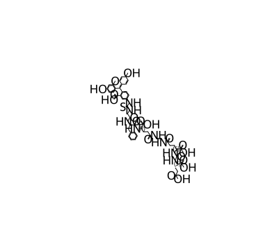 O=C(O)CC[C@H](NC(=O)N[C@@H](CCC(=O)NCCNC(=O)CC[C@@H](NC(=O)C(Cc1ccccc1)NC(=O)CNC(=S)Nc1ccc(C2=C3C=CC(O)C=C3Oc3cc(O)ccc32)c(C(=O)O)c1)C(=O)O)C(=O)O)C(=O)O